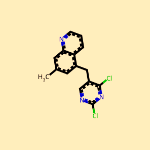 Cc1cc(Cc2cnc(Cl)nc2Cl)c2cccnc2c1